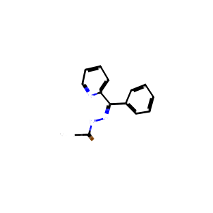 CSC(=S)NN=C(c1ccccc1)c1ccccn1